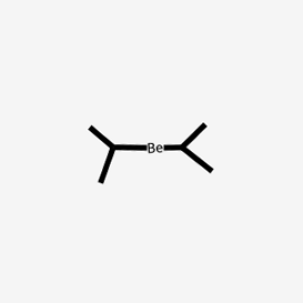 C[CH](C)[Be][CH](C)C